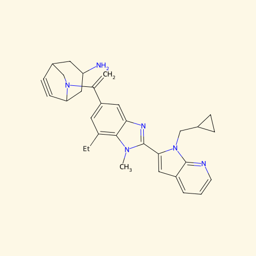 C=C(c1cc(CC)c2c(c1)nc(-c1cc3cccnc3n1CC1CC1)n2C)N1CC2C#CC1CC(N)C2